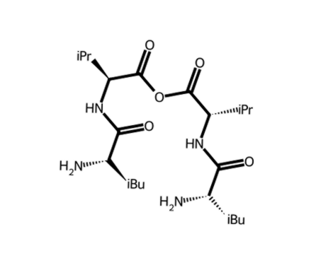 CC[C@H](C)[C@H](N)C(=O)N[C@H](C(=O)OC(=O)[C@@H](NC(=O)[C@@H](N)[C@@H](C)CC)C(C)C)C(C)C